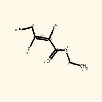 CCOC(=O)/C(F)=C(\F)CF